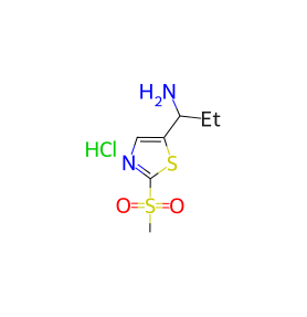 CCC(N)c1cnc(S(C)(=O)=O)s1.Cl